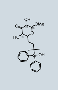 CO[C@H]1OC(CCC(C)(C)[Si](O)(c2ccccc2)c2ccccc2)[C@@H](O)C(=O)[C@@H]1O